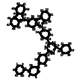 c1ccc(-c2cccc(-c3ccc(-c4nc(-c5ccccc5)nc(-c5ccc(-n6c7ccccc7c7cc(-n8c9ccccc9c9ccccc98)ccc76)cc5)n4)cc3)c2)cc1